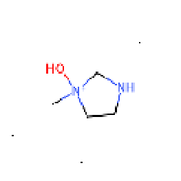 C[N+]1(O)CCNC1